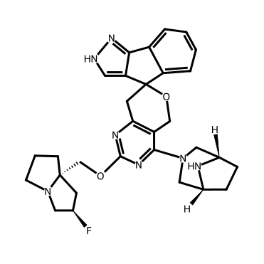 F[C@H]1CN2CCC[C@@]2(COc2nc3c(c(N4C[C@H]5CC[C@@H](C4)N5)n2)COC2(C3)c3ccccc3-c3n[nH]cc32)C1